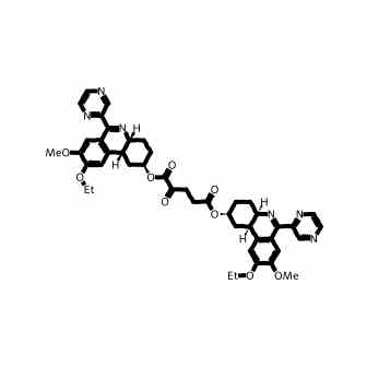 CCOc1cc2c(cc1OC)C(c1cnccn1)=N[C@@H]1CC[C@@H](OC(=O)CCC(=O)C(=O)O[C@@H]3CC[C@H]4N=C(c5cnccn5)c5cc(OC)c(OCC)cc5[C@H]4C3)C[C@H]21